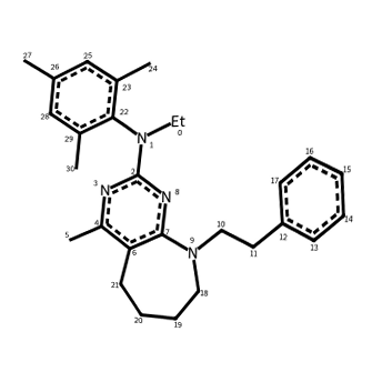 CCN(c1nc(C)c2c(n1)N(CCc1ccccc1)CCCC2)c1c(C)cc(C)cc1C